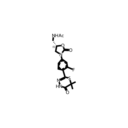 CC(=O)NC[C@H]1CN(c2ccc(C3=NNC(=O)C(C)(C)S3)c(F)c2)C(=O)O1